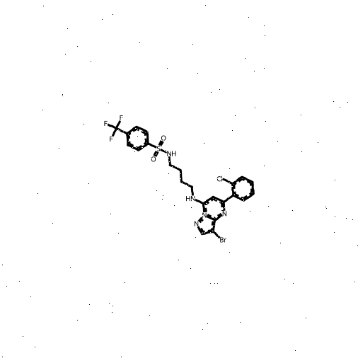 O=S(=O)(NCCCCNc1cc(-c2ccccc2Cl)nc2c(Br)cnn12)c1ccc(C(F)(F)F)cc1